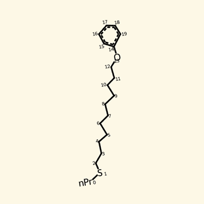 CCCSCCCCCCCCCCCOc1ccccc1